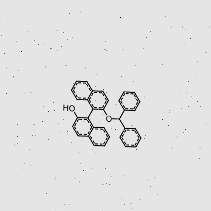 Oc1ccc2ccccc2c1-c1c(OC(c2ccccc2)c2ccccc2)ccc2ccccc12